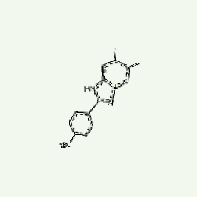 Cc1cc2nc(-c3ccc(C(C)(C)C)cc3)[nH]c2cc1C